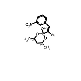 CC(=O)C(=Cc1cccc([N+](=O)[O-])c1)[P]1(O)O[C@H](C)C[C@@H](C)O1